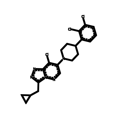 Clc1cccc(C2CCN(c3cnn4c(CC5CC5)nnc4c3Cl)CC2)c1Cl